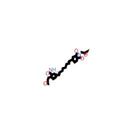 NC(=O)c1cc(/C=C/CCCC/C=C/c2ccc3c(c2)C(=O)N(CC2CO2)C3=O)ccc1CC1CO1